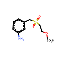 Nc1cccc(CS(=O)(=O)CCOS(=O)(=O)O)c1